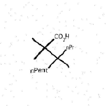 CCCCCC(C)(CCC)C(C)(C)C(=O)O